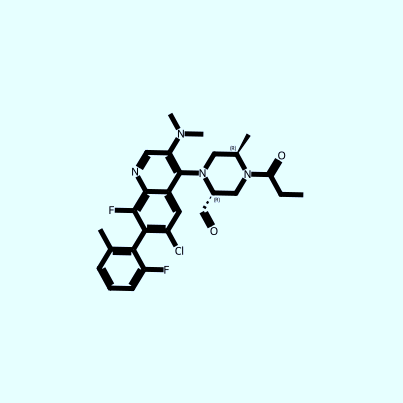 CCC(=O)N1C[C@H](C=O)N(c2c(N(C)C)cnc3c(F)c(-c4c(C)cccc4F)c(Cl)cc23)C[C@H]1C